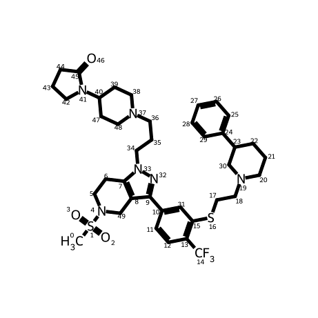 CS(=O)(=O)N1CCc2c(c(-c3ccc(C(F)(F)F)c(SCCN4CCCC(c5ccccc5)C4)c3)nn2CCCN2CCC(N3CCCC3=O)CC2)C1